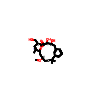 CC[C@@H](/C=C(/C)C1C[C@@H](OC)CCC(C)(C)c2cccc(c2)C[C@@H](O)[C@H](O)C(=O)O1)CO